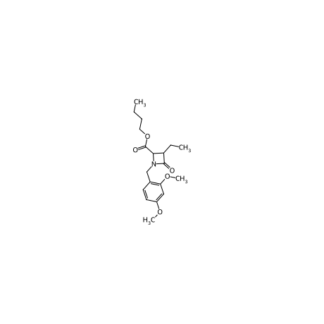 CCCCOC(=O)C1C(CC)C(=O)N1Cc1ccc(OC)cc1OC